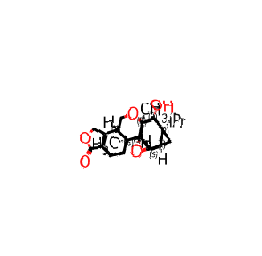 CC(C)[C@]12C[C@H]1[C@@H]1O[C@@]13[C@@]1(C)CCC4=C(COC4=O)[C@@H]1CO[C@]3(C)[C@@H]2O